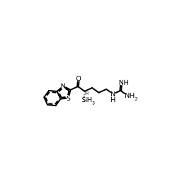 N=C(N)NCCC[C@H]([SiH3])C(=O)c1nc2ccccc2s1